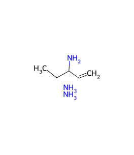 C=CC(N)CC.N.N